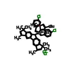 CCC1=[C]([Zr+2](=[CH]c2ccc(Cl)cc2)(=[CH]c2ccc(Cl)cc2)[CH]2c3cc4c(cc3-c3cc5c(cc32)C(C)(C)C=C5C)C(C)=CC4(C)C)C(C)C=C1C(C)(C)C.[Cl-].[Cl-]